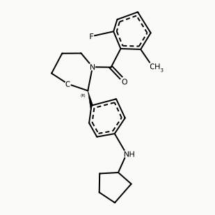 Cc1cccc(F)c1C(=O)N1CCCC[C@@H]1c1ccc(NC2CCCC2)cc1